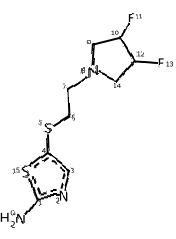 Nc1ncc(SCCN2CC(F)C(F)C2)s1